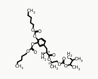 CCCCCOC(=O)Oc1ccc(C[C@H](N)C(=O)O[C@@H](C)COC(=O)OC(C)C(C)C)cc1OC(=O)OCCCCC